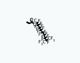 C=CC(=O)OC(F)(C(F)(F)F)C(F)(F)C(F)(F)C(F)(F)C(F)(F)C(F)(F)C(F)(F)C(F)(C(F)(F)F)C(F)(F)F